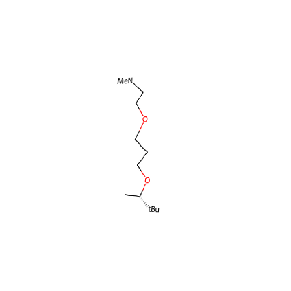 CNCCOCCCO[C@@H](C)C(C)(C)C